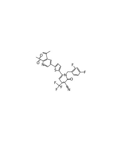 C=C(C)c1cc(-c2ccc(-c3cc(C(F)(F)F)c(C#N)c(=O)n3Cc3ccc(F)cc3F)s2)cnc1S(C)(=O)=O